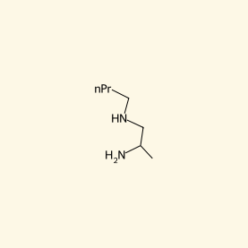 CCCCNCC(C)N